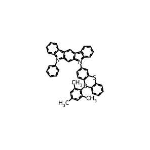 Cc1cc(C)c(B2c3ccccc3Sc3cc(-n4c5ccccc5c5cc6c7ccccc7n(-c7ccccc7)c6cc54)ccc32)c(C)c1